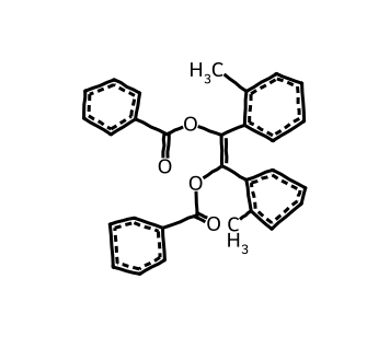 Cc1ccccc1C(OC(=O)c1ccccc1)=C(OC(=O)c1ccccc1)c1ccccc1C